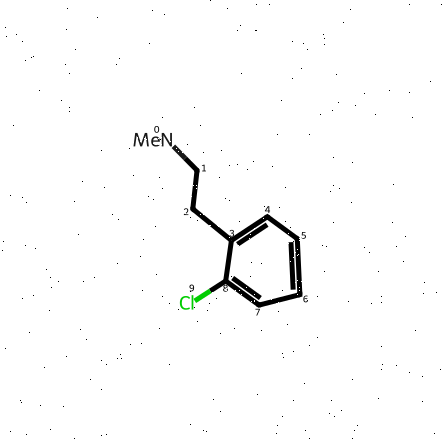 CNCCc1ccccc1Cl